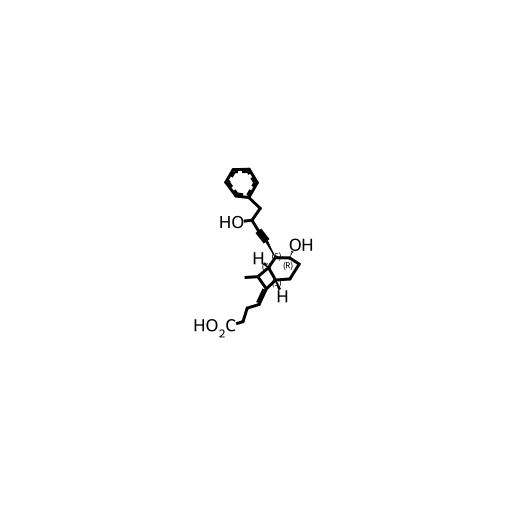 CC1C(=CCCC(=O)O)[C@H]2CC[C@@H](O)[C@H](C#CC(O)Cc3ccccc3)[C@@H]12